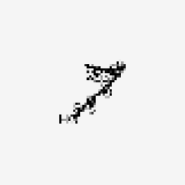 C=CCC(CCCOC(=O)C(CCCOC(=O)CCCCOC(=O)CCC(=O)CCO)CC1CO1)C(=O)OC